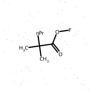 CCCC(C)(C)C(=O)OF